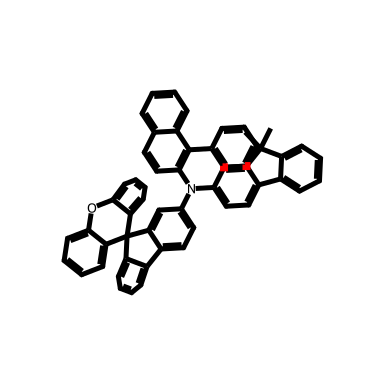 CC1(C)c2ccccc2-c2ccc(N(c3ccc4c(c3)C3(c5ccccc5Oc5ccccc53)c3ccccc3-4)c3ccc4ccccc4c3-c3ccccc3)cc21